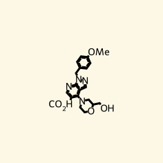 COc1ccc(Cn2ncc3c(N4CCOC(CO)C4)c(C(=O)O)cnc32)cc1